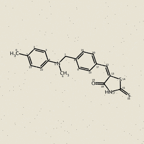 Cc1ccc(N(C)Cc2ccc(C=C3SC(=S)NC3=O)cc2)cc1